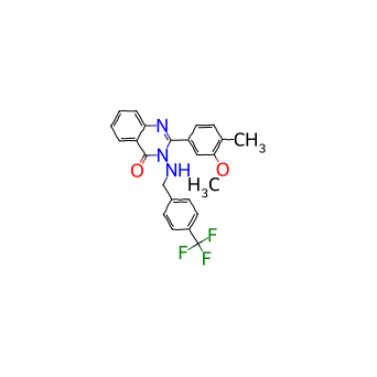 COc1cc(-c2nc3ccccc3c(=O)n2NCc2ccc(C(F)(F)F)cc2)ccc1C